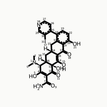 CN(C)[C@@H]1C(O)=C(C(N)=O)C(=O)[C@@]2(O)C(O)=C3C(=O)c4c(O)ccc(-c5ccncc5I)c4C[C@H]3C[C@@H]12